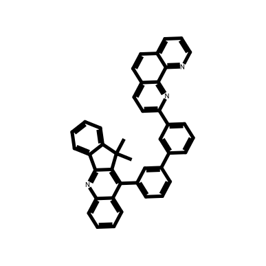 CC1(C)c2ccccc2-c2nc3ccccc3c(-c3cccc(-c4cccc(-c5ccc6ccc7cccnc7c6n5)c4)c3)c21